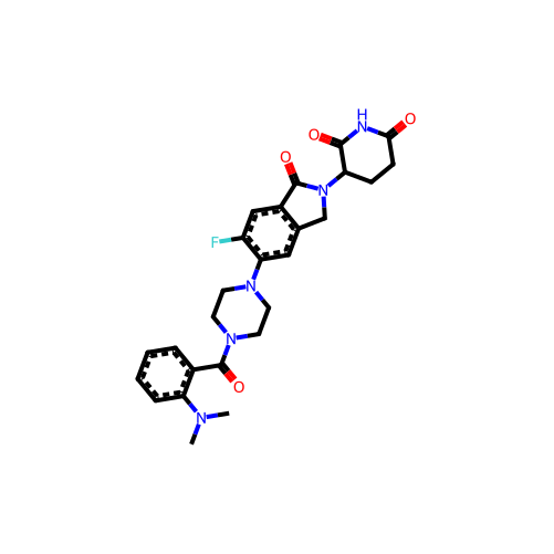 CN(C)c1ccccc1C(=O)N1CCN(c2cc3c(cc2F)C(=O)N(C2CCC(=O)NC2=O)C3)CC1